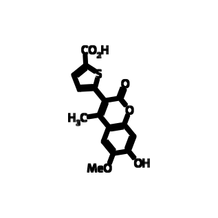 COc1cc2c(C)c(-c3ccc(C(=O)O)s3)c(=O)oc2cc1O